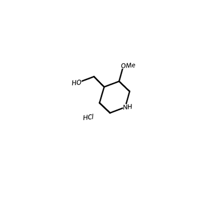 COC1CNCCC1CO.Cl